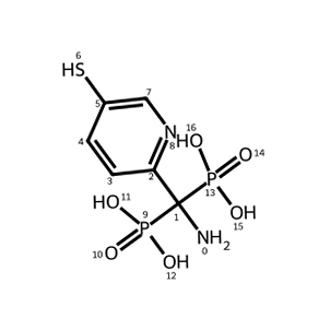 NC(c1ccc(S)cn1)(P(=O)(O)O)P(=O)(O)O